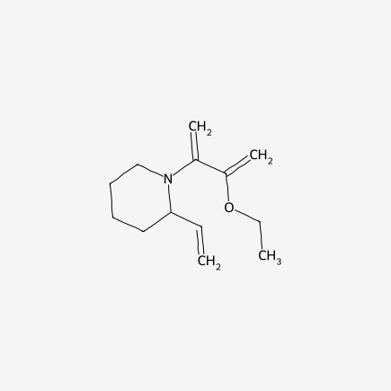 C=CC1CCCCN1C(=C)C(=C)OCC